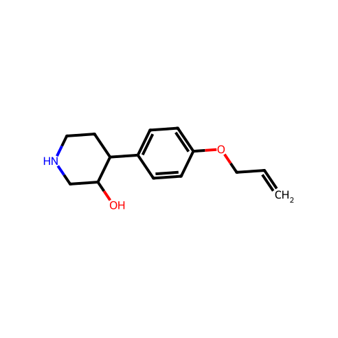 C=CCOc1ccc(C2CCNCC2O)cc1